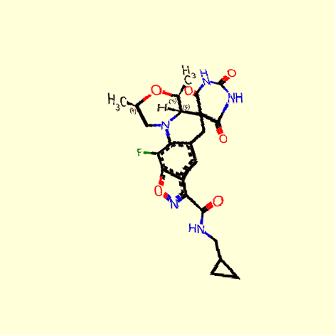 C[C@@H]1CN2c3c(cc4c(C(=O)NCC5CC5)noc4c3F)CC3(C(=O)NC(=O)NC3=O)[C@H]2[C@H](C)O1